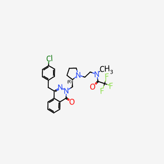 CN(CCN1CCC[C@@H]1Cn1nc(Cc2ccc(Cl)cc2)c2ccccc2c1=O)C(=O)C(F)(F)F